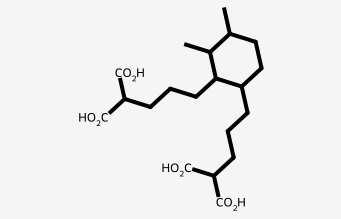 CC1CCC(CCCC(C(=O)O)C(=O)O)C(CCCC(C(=O)O)C(=O)O)C1C